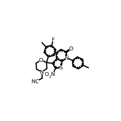 Cc1ccc(-n2c(=O)ccc3c(C4(c5ccc(F)c(C)c5)CN(CC#N)CCO4)c([N+](=O)[O-])sc32)cc1